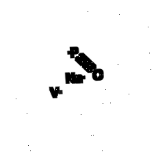 O=[P].[Na].[V]